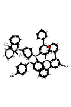 Cc1cc2c3c(c1)N(c1c(-c4ccccc4)cc(C(C)(C)C)cc1-c1ccccc1)c1ccc(-c4ccccc4)cc1B3c1ccc(N3c4ccccc4C4(C)CCCCC34C)cc1N2c1ccc(C(C)(C)C)cc1